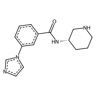 O=C(N[C@H]1CCCNC1)c1cccc(-n2ccnc2)c1